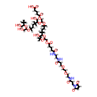 CC(C)(C)OC(COC(=O)CCCC(=O)NCCNC(=O)CCOCCOCCNC(=O)CCN1C(=O)C=CC1=O)OC(CO)C(C)(C)CCC(C)(C)OC(COC(=O)CCCC(=O)O)OC(CO)C(C)(C)CCC(C)(C)OC(CO)OC(CO)C(C)(C)C